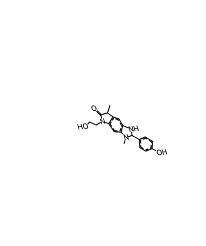 CC1C(=O)N(CCO)c2cc3c(cc21)NC(c1ccc(O)cc1)N3C